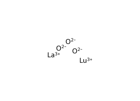 [La+3].[Lu+3].[O-2].[O-2].[O-2]